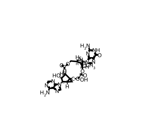 CO[C@H]1[C@H]2OP(=O)(O)OCC34C[C@@H]3[C@@H](n3cnc5c(N)ncnc53)[C@H](O)[C@@H]4O[PH](=O)OC[C@H]1S[C@H]2n1cnc2c(=O)[nH]c(N)nc21